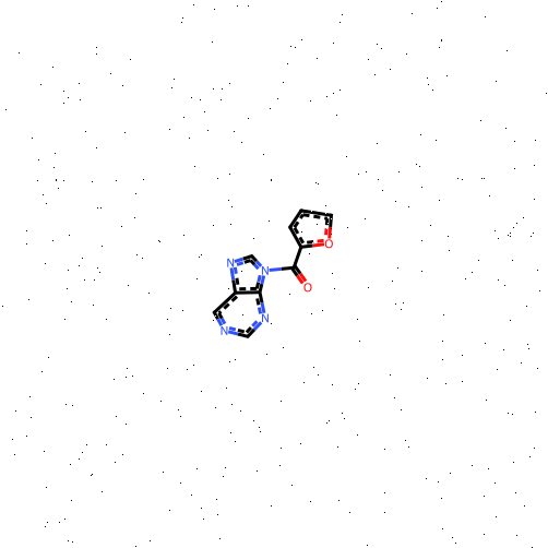 O=C(c1ccco1)n1cnc2cncnc21